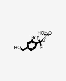 O=[PH](O)OC(F)(F)c1ccc(CO)cc1Br